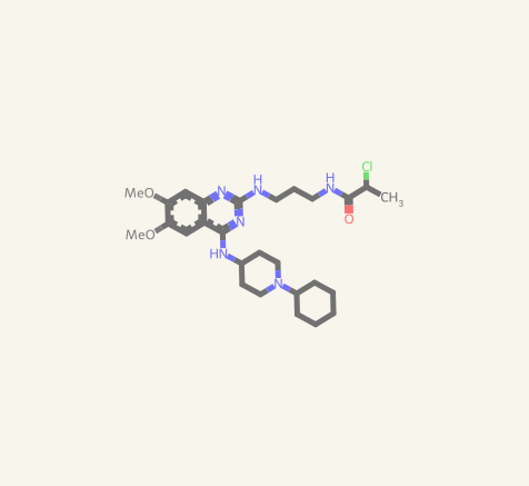 COc1cc2nc(NCCCNC(=O)C(C)Cl)nc(NC3CCN(C4CCCCC4)CC3)c2cc1OC